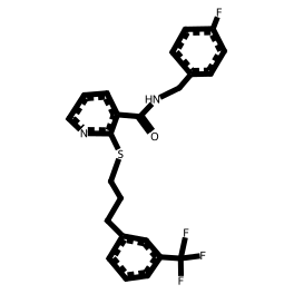 O=C(NCc1ccc(F)cc1)c1cccnc1SCCCc1cccc(C(F)(F)F)c1